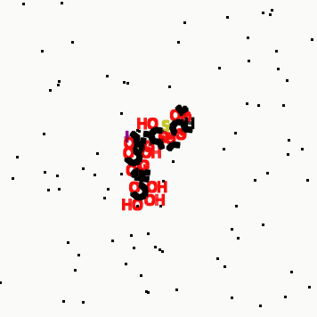 CCC(C)(OC1C(O)[C@H](C(CC)(OI)C(C)(C)O[C@H]2C(C)OC(SC3C4OC(C)(C)O[C@H]4C(C)O[C@H]3OC(C)C)[C@@H](O)C2C)OC[C@H]1O)C(C)(C)[C@@H]1OC[C@@H](O)C(O)C1O